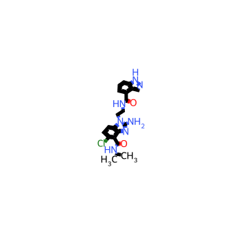 CC(C)NC(=O)c1c(Cl)ccc2c1nc(N)n2CCNC(=O)c1cccc2[nH]ncc12